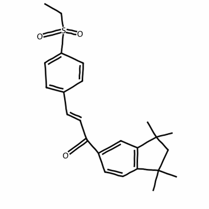 CCS(=O)(=O)c1ccc(/C=C/C(=O)c2ccc3c(c2)C(C)(C)CC3(C)C)cc1